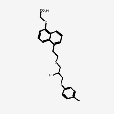 Cc1ccc(OCC(O)CSCCc2cccc3c(OCC(=O)O)cccc23)cc1